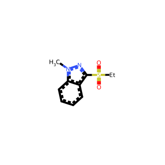 CCS(=O)(=O)c1nn(C)c2ccccc12